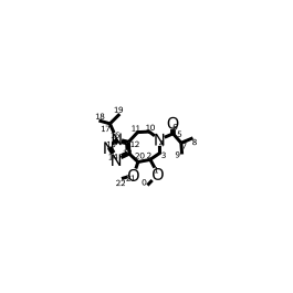 COC1CN(C(=O)C(C)C)CCc2c(nnn2C(C)C)C1OC